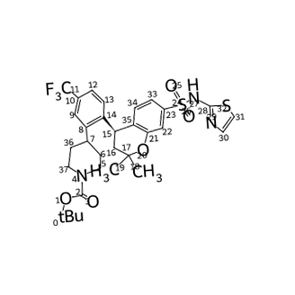 CC(C)(C)OC(=O)N1CCC(c2cc(C(F)(F)F)ccc2[C@@H]2CC(C)(C)Oc3cc(S(=O)(=O)Nc4nccs4)ccc32)CC1